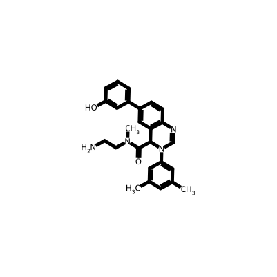 Cc1cc(C)cc(N2C=Nc3ccc(-c4cccc(O)c4)cc3C2C(=O)N(C)CCN)c1